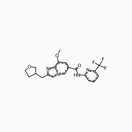 COc1cc(C(=O)Nc2cccc(C(F)(F)F)n2)cn2cc(CC3CCOC3)nc12